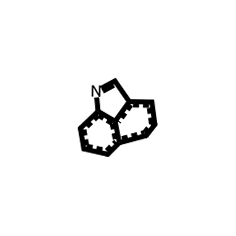 C1=Nc2cccc3cccc1c23